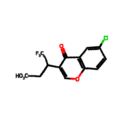 O=C(O)CC(c1coc2ccc(Cl)cc2c1=O)C(F)(F)F